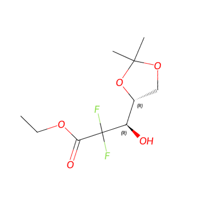 CCOC(=O)C(F)(F)[C@H](O)[C@H]1COC(C)(C)O1